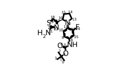 CC(C)(C)OC(=O)Nc1ccc(N2CCC[C@@H]2c2csc(N)n2)c(F)c1